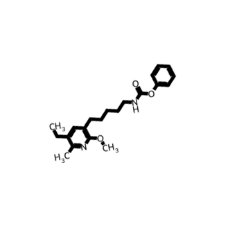 CCc1cc(CCCCCNC(=O)Oc2ccccc2)c(OC)nc1C